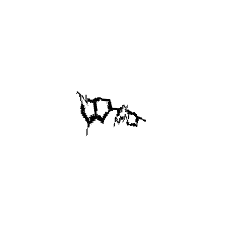 Cc1ccn2nc(-c3ccc4c(c3)c(I)cn4C)nc2c1